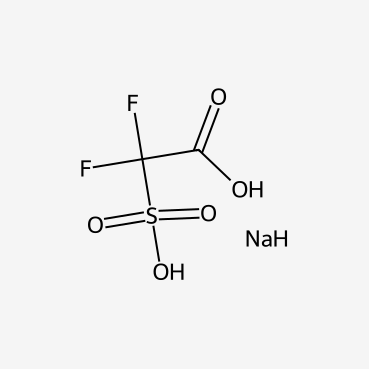 O=C(O)C(F)(F)S(=O)(=O)O.[NaH]